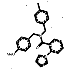 COc1ccc(CN(Cc2ccc(C)cc2)C(=O)c2ccccc2-n2cccc2)cc1